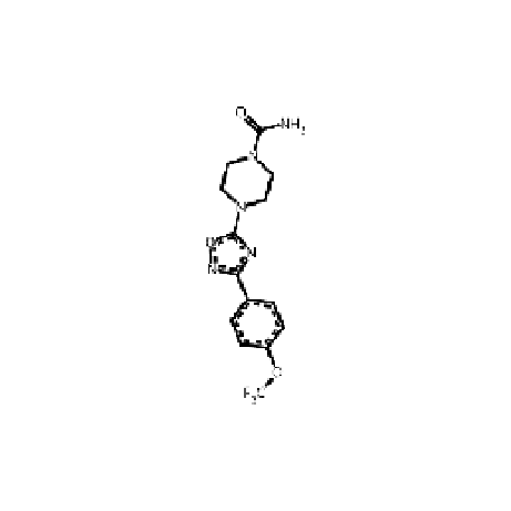 NC(=O)N1CCN(c2nc(-c3ccc(OC(F)(F)F)cc3)no2)CC1